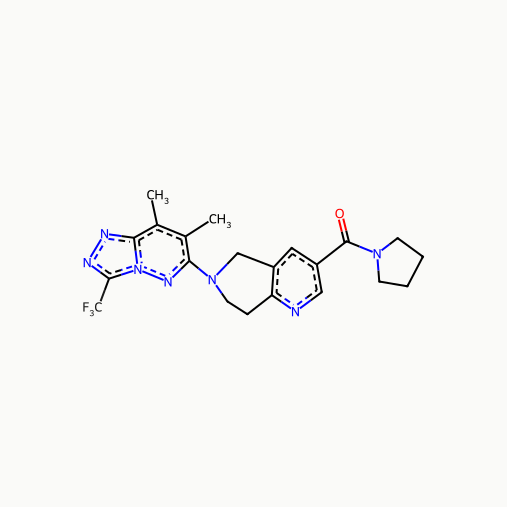 Cc1c(N2CCc3ncc(C(=O)N4CCCC4)cc3C2)nn2c(C(F)(F)F)nnc2c1C